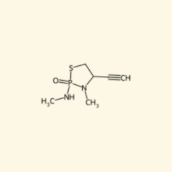 C#CC1CSP(=O)(NC)N1C